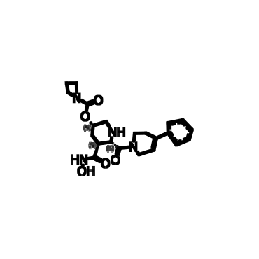 O=C(NO)[C@H]1C[C@H](OC(=O)N2CCC2)CN[C@@H]1C(=O)N1CC=C(c2ccccc2)CC1